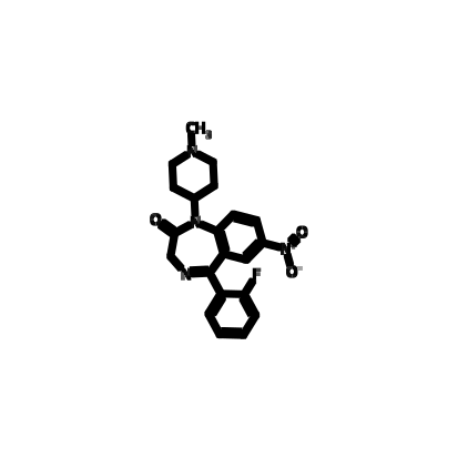 CN1CCC(N2C(=O)CN=C(c3ccccc3F)c3cc([N+](=O)[O-])ccc32)CC1